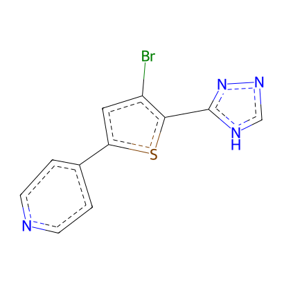 Brc1cc(-c2ccncc2)sc1-c1nnc[nH]1